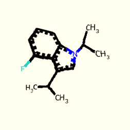 CC(C)c1cn(C(C)C)c2cccc(F)c12